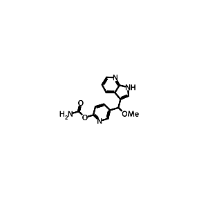 COC(c1ccc(OC(N)=O)nc1)c1c[nH]c2ncccc12